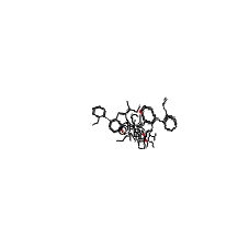 CCC(=O)N[B](NC(=O)CC)[Hf]([Cl])([Cl])([CH]1C(C(C)CC)=Cc2c(-c3ccccc3CC)cccc21)[CH]1C(C(C)CC)=Cc2c(-c3ccccc3CC)cccc21